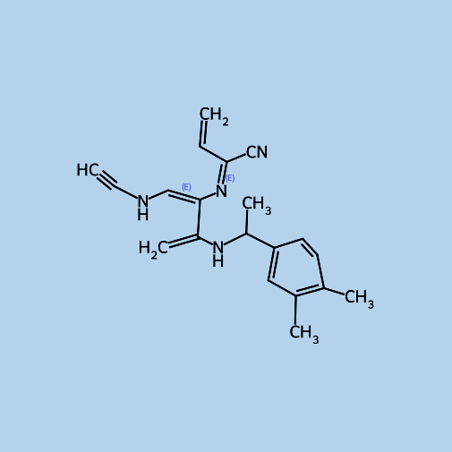 C#CN/C=C(/N=C(/C#N)C=C)C(=C)NC(C)c1ccc(C)c(C)c1